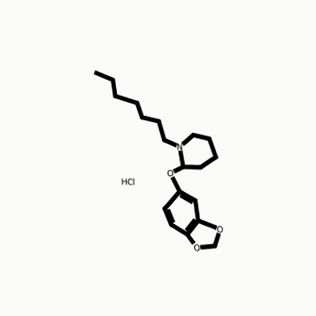 CCCCCCCN1CCCCC1Oc1ccc2c(c1)OCO2.Cl